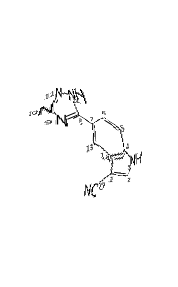 N#Cc1c[nH]c2ccc(-c3nnn[nH]3)cc12